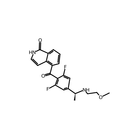 COCCN[C@@H](C)c1cc(F)c(C(=O)c2cccc3c(=O)[nH]ccc23)c(F)c1